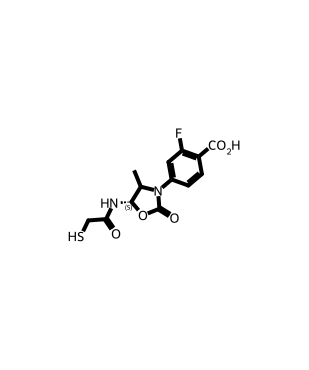 CC1[C@@H](NC(=O)CS)OC(=O)N1c1ccc(C(=O)O)c(F)c1